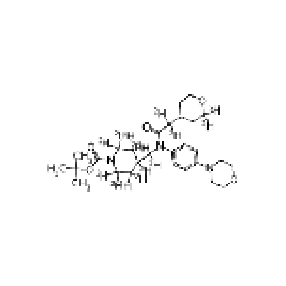 [2H]C1([2H])CC(C([2H])([2H])C(=O)N(c2ccc(N3CCOCC3)cc2)C([2H])([2H])C2([2H])C([2H])([2H])C([2H])([2H])N(C(=O)OC(C)(C)C)C([2H])([2H])C2([2H])[2H])CCO1